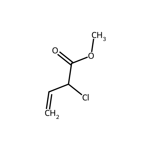 C=CC(Cl)C(=O)OC